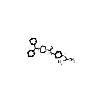 CC(C)Oc1ccc(NC(=S)N2CCN(C(c3ccccc3)c3ccccc3)CC2)cc1